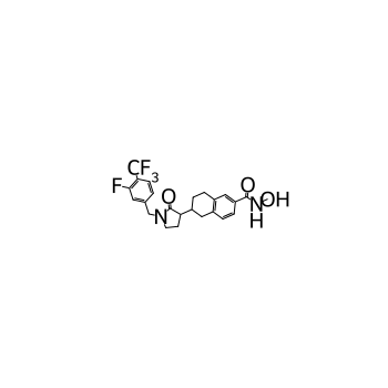 O=C(NO)c1ccc2c(c1)CCC(C1CCN(Cc3ccc(C(F)(F)F)c(F)c3)C1=O)C2